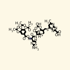 CC(=O)Oc1cc(C(=O)O/N=C(\C(=O)N[C@@H]2C(=O)N3C(OC(=O)O)=C(CSc4cc(C)nc5nc(C(=O)O)nn45)CS[C@H]23)c2csc(N)n2)cc(OC(C)=O)c1OC(C)=O